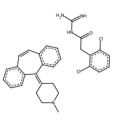 CN1CCC(=C2c3ccccc3C=Cc3ccccc32)CC1.N=C(N)NC(=O)Cc1c(Cl)cccc1Cl